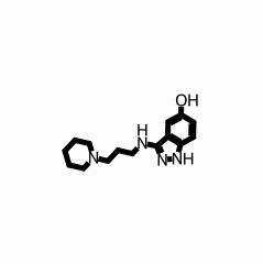 Oc1ccc2[nH]nc(NCCCN3CCCCC3)c2c1